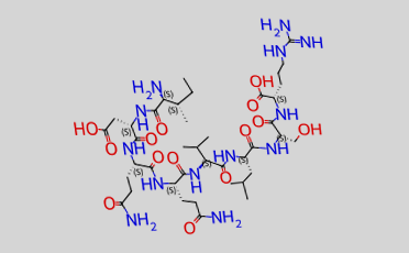 CC[C@H](C)[C@H](N)C(=O)N[C@@H](CC(=O)O)C(=O)N[C@@H](CCC(N)=O)C(=O)N[C@@H](CCC(N)=O)C(=O)N[C@H](C(=O)N[C@@H](CC(C)C)C(=O)N[C@@H](CO)C(=O)N[C@@H](CCCNC(=N)N)C(=O)O)C(C)C